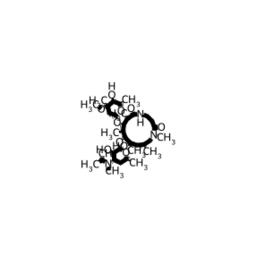 CO[C@]1(C)C[C@H](O[C@H]2[C@H](C)[C@@H](O[C@@H]3O[C@H](C)C[C@H](N(C)C(C)C)[C@H]3O)[C@](C)(O)C[C@@H](C)CN(C)C(=O)CCNC(=O)[C@@H]2C)O[C@@H](C)[C@@H]1O